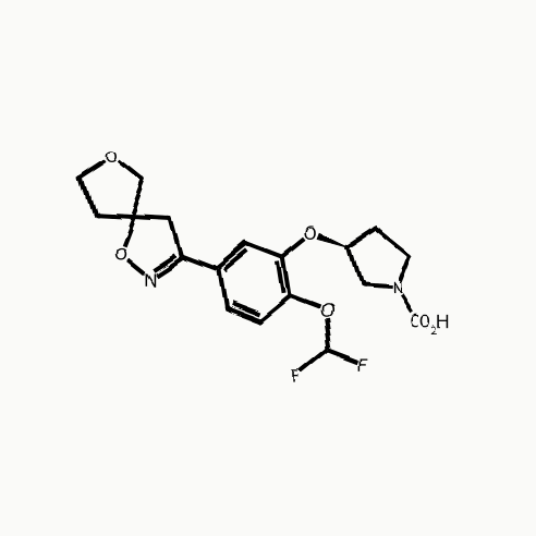 O=C(O)N1CC[C@H](Oc2cc(C3=NOC4(CCOC4)C3)ccc2OC(F)F)C1